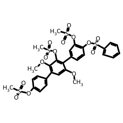 COc1cc(-c2ccc(OS(C)(=O)=O)cc2)c(OC)c(OS(C)(=O)=O)c1-c1ccc(OS(=O)(=O)c2ccccc2)c(OS(C)(=O)=O)c1